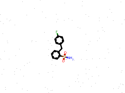 NS(=O)(=O)c1ccccc1Cc1ccc(F)cc1